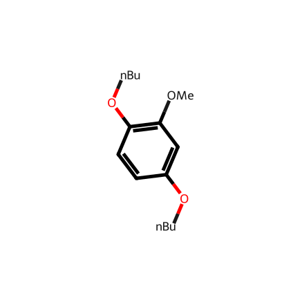 CCCCOc1ccc(OCCCC)c(OC)c1